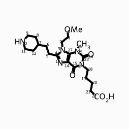 COCCn1c(CCC2CCNCC2)nc2c(=O)n(CCCCC(=O)O)c(=O)n(C)c21